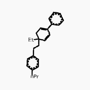 CCCc1ccc(CCC2(CC)C=CC(c3ccccc3)=CC2)cc1